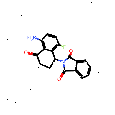 Nc1ccc(F)c2c1C(=O)CCC2N1C(=O)c2ccccc2C1=O